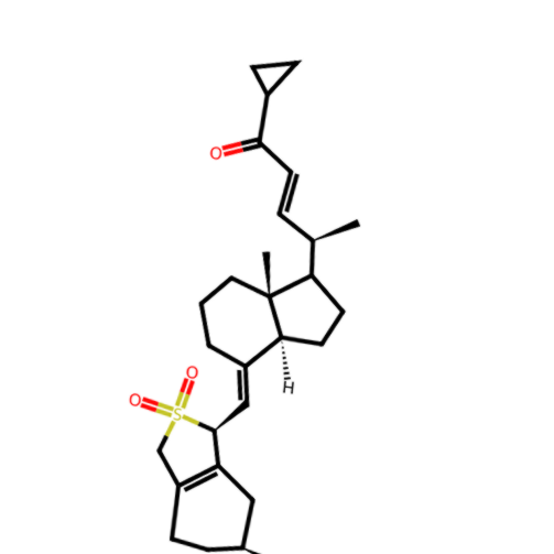 C[C@H]1CCC2=C(C1)[C@H](/C=C1\CCC[C@]3(C)C([C@H](C)/C=C/C(=O)C4CC4)CC[C@@H]13)S(=O)(=O)C2